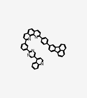 c1cc(-c2ccc3ccc4ccc(-c5ccc(-c6ccc7c(c6)-c6cccc8cccc-7c68)cc5)nc4c3n2)cc(-c2ncc(-c3ccnc4ccccc34)cn2)c1